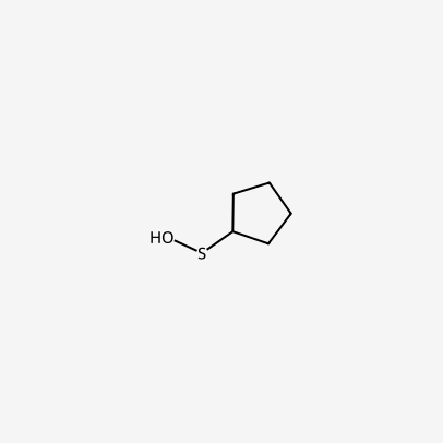 OSC1CCCC1